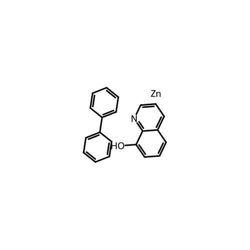 Oc1cccc2cccnc12.[Zn].c1ccc(-c2ccccc2)cc1